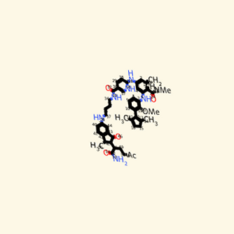 C=C/C=C(\C=C(\Nc1cccc(C2=C(C)CC=C2C)c1OC)C(=C)C(=O)NC)NC1C=CC(C(=O)NCCCCNc2ccc3c(c2)C(=O)C(C(CCC(C)=O)C(N)=O)C3C)=CN1